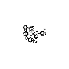 CC(=O)N1CCC(Oc2ccc(N3CCCC3c3csc(NC(=O)c4cccn4Cc4ccnc(F)c4)n3)cn2)CC1